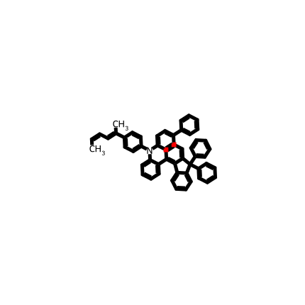 C/C=C\C=C(/C)c1ccc(N(c2ccc(-c3ccccc3)cc2)c2ccccc2-c2cccc3c2-c2ccccc2C3(c2ccccc2)c2ccccc2)cc1